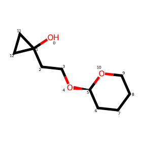 OC1(CCO[C@@H]2CCCCO2)CC1